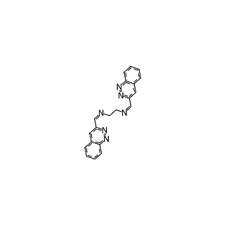 C(=N/CC/N=C\c1cc2ccccc2nn1)/c1cc2ccccc2nn1